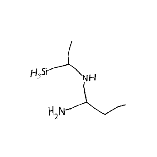 CCC(N)NC(C)[SiH3]